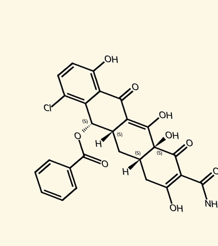 NC(=O)C1=C(O)C[C@@H]2C[C@H]3C(=C(O)[C@]2(O)C1=O)C(=O)c1c(O)ccc(Cl)c1[C@H]3OC(=O)c1ccccc1